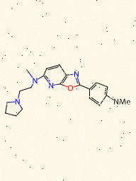 CNc1ccc(-c2nc3ccc(N(C)CCN4CCCC4)nc3o2)cc1